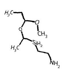 CCC(OC)OC(C)[SiH2]CCN